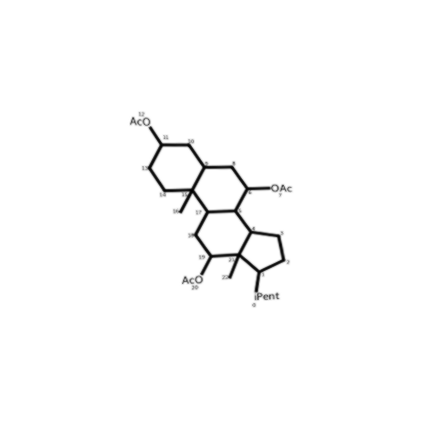 CCCC(C)C1CCC2C3C(OC(C)=O)CC4CC(OC(C)=O)CCC4(C)C3CC(OC(C)=O)C12C